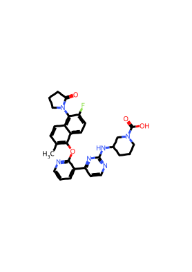 Cc1ccc2c(N3CCCC3=O)c(F)ccc2c1Oc1ncccc1-c1ccnc(NC2CCCN(C(=O)O)C2)n1